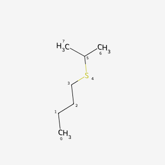 CCCCSC(C)C